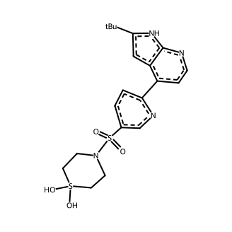 CC(C)(C)c1cc2c(-c3ccc(S(=O)(=O)N4CCS(O)(O)CC4)cn3)ccnc2[nH]1